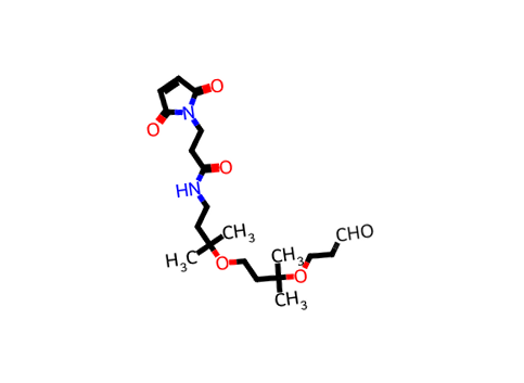 CC(C)(CCNC(=O)CCN1C(=O)C=CC1=O)OCCC(C)(C)OCCC=O